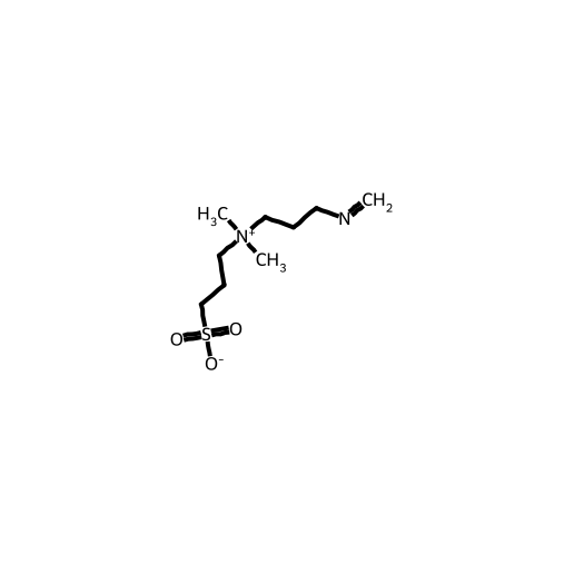 C=NCCC[N+](C)(C)CCCS(=O)(=O)[O-]